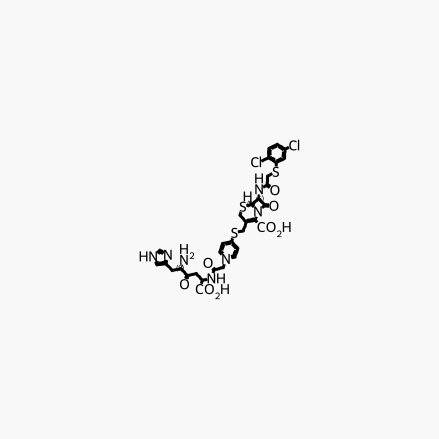 N[C@@H](Cc1c[nH]cn1)C(=O)CC(NC(=O)C[n+]1ccc(SCC2=C(C(=O)O)N3C(=O)[C@H](NC(=O)CSc4cc(Cl)ccc4Cl)[C@H]3SC2)cc1)C(=O)O